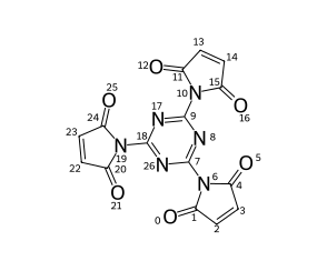 O=C1C=CC(=O)N1c1nc(N2C(=O)C=CC2=O)nc(N2C(=O)C=CC2=O)n1